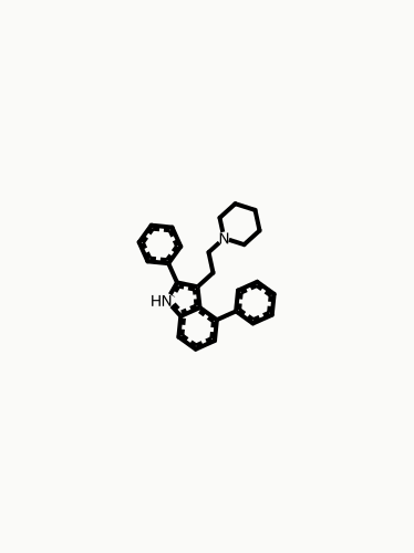 c1ccc(-c2[nH]c3cccc(-c4ccccc4)c3c2CCN2CCCCC2)cc1